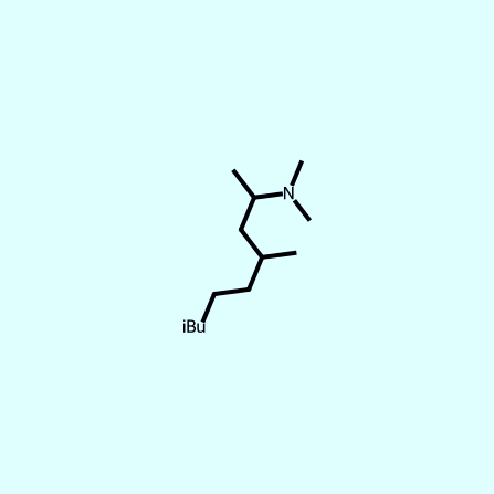 CCC(C)CCC(C)CC(C)N(C)C